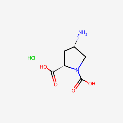 Cl.N[C@H]1C[C@@H](C(=O)O)N(C(=O)O)C1